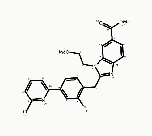 COCCn1c(Cc2ccc(-c3cccc(Cl)n3)cc2F)nc2ccc(C(=O)OC)cc21